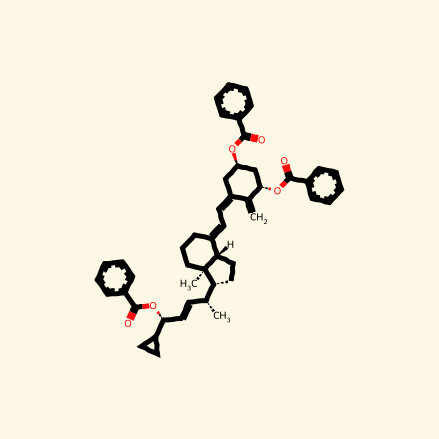 C=C1/C(=C\C=C2/CCC[C@]3(C)[C@@H]([C@H](C)/C=C/[C@@H](OC(=O)c4ccccc4)C4CC4)CC[C@@H]23)C[C@@H](OC(=O)c2ccccc2)C[C@@H]1OC(=O)c1ccccc1